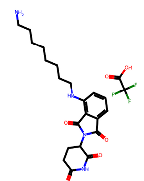 NCCCCCCCCNc1cccc2c1C(=O)N(C1CCC(=O)NC1=O)C2=O.O=C(O)C(F)(F)F